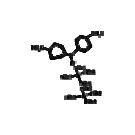 CCCCCCCC[N+](CCCCCCCC)(CCCCCCCC)CCCCCCCC.CCCCCCCC[N+](CCCCCCCC)(CCCCCCCC)CCCCCCCC.O=C(O)c1ccc([S+]([O-])c2ccc(C(=O)O)cc2)cc1